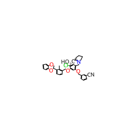 Cc1c(COc2cc(OCc3cccc(C#N)c3)c(CN3CCCC[C@H]3C(=O)O)cc2Cl)cccc1C1COc2ccccc2O1